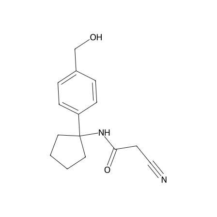 N#CCC(=O)NC1(c2ccc(CO)cc2)CCCC1